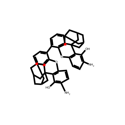 Nc1ccc(Oc2ccccc2-c2ccccc2Oc2ccc(N)c(O)c2C23CC4CC(CC(C4)C2)C3)c(C23CC4CC(CC(C4)C2)C3)c1O